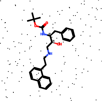 CC(C)(C)OC(=O)N[C@@H](Cc1ccccc1)[C@H](O)CNCCc1cccc2ccccc12